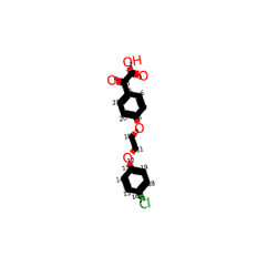 O=C(O)C(=O)c1ccc(OCCOc2ccc(Cl)cc2)cc1